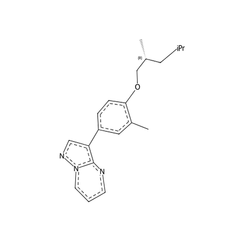 Cc1cc(-c2cnn3cccnc23)ccc1OC[C@H](C)CC(C)C